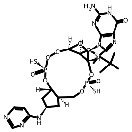 CC(C)(C)[Si](C)(C)O[C@H]1[C@H]2O[P@](=O)(S)OC[C@H]3C[C@@H](Nc4ccncn4)C[C@@H]3O[P@@](=O)(S)OC[C@H]1O[C@H]2n1cnc2c(=O)[nH]c(N)nc21